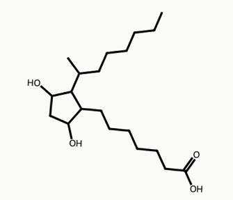 CCCCCCC(C)C1C(O)CC(O)C1CCCCCCC(=O)O